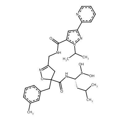 Cc1cccc(CC2(C(=O)N[C@@H](CC(C)C)B(O)O)CC(CNC(=O)c3cc(-c4ccccn4)nn3C(C)C)=NO2)c1